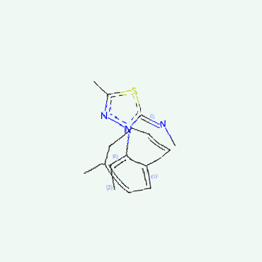 C\C=C(/C1=C\C=C(\C)CCC=C1)n1nc(C)s/c1=N/C